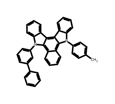 Cc1ccc(-n2c3ccccc3c3c4c5ccccc5n(-c5cccc(-c6ccccc6)c5)c4c4ccccc4c32)cc1